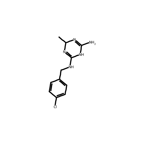 CC1N=C(N)NC(NCc2ccc(Cl)cc2)=N1